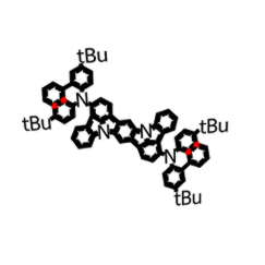 CC(C)(C)c1ccc(N(c2ccc(C(C)(C)C)cc2-c2ccccc2)c2ccc3c4cc5c(cc4n4c6ccccc6c2c34)c2ccc(N(c3ccc(C(C)(C)C)cc3)c3ccc(C(C)(C)C)cc3-c3ccccc3)c3c4ccccc4n5c23)cc1